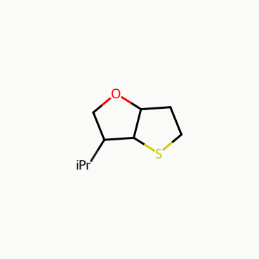 CC(C)C1COC2CCSC21